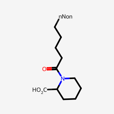 CCCCCCCCCCCCCC(=O)N1CCCCC1C(=O)O